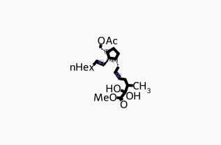 CCCCCC/C=C/[C@@H]1[C@@H](C/C=C\CC(C)C(O)(O)C(=O)OC)CC[C@H]1COC(C)=O